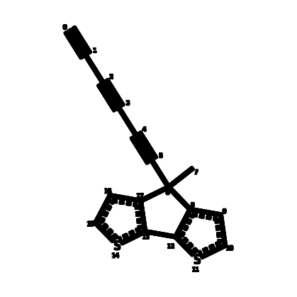 C#CC#CC#CC1(C)c2ccsc2-c2sccc21